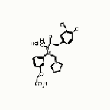 CN(C(=O)Cc1ccc(Cl)c(Cl)c1)[C@@H](CN1CCCC1)c1cccc(OCC(=O)O)c1.Cl